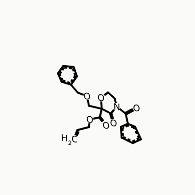 C=CCOC(=O)C1(COCc2ccccc2)OCCN(C(=O)c2ccccc2)C1=O